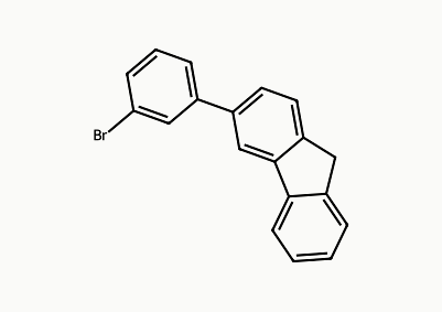 Brc1cccc(-c2ccc3c(c2)-c2ccccc2C3)c1